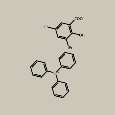 CC(C)c1cc(C(=O)[O-])c(O)c(C(C)C)c1.c1cc[c]([Sn+]([c]2ccccc2)[c]2ccccc2)cc1